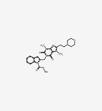 Cn1c(CCN2CCOCC2)nc2c1c(=O)n(Cc1cc3ccccc3n1C(=O)OC(C)(C)C)c(=O)n2C